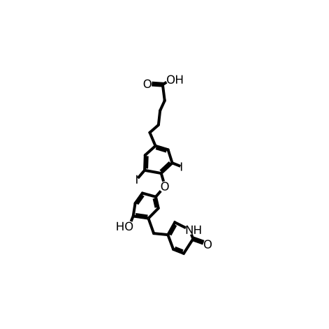 O=C(O)CCCCc1cc(I)c(Oc2ccc(O)c(Cc3ccc(=O)[nH]c3)c2)c(I)c1